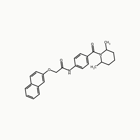 CC1CCCC(C)N1C(=O)c1ccc(NC(=O)COc2ccc3ccccc3c2)cc1